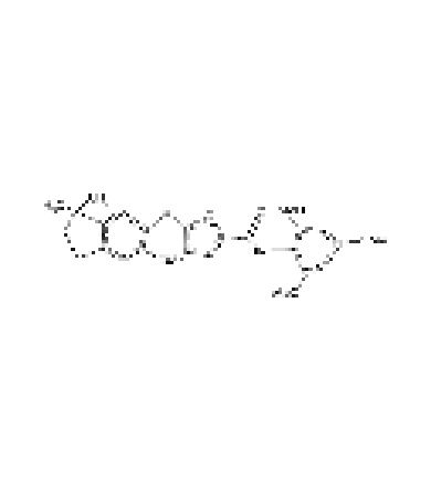 COc1cc(OC)c(NC(=O)c2ccc(Oc3cc4c(cc3OC)CCC4(C)C)o2)c(OC)c1